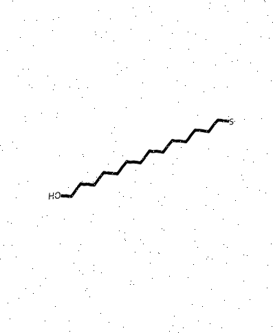 OCCCCCCCCCCCCCC[S]